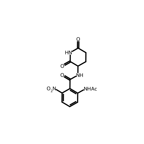 CC(=O)Nc1cccc([N+](=O)[O-])c1C(=O)NC1CCC(=O)NC1=O